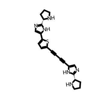 C(C#Cc1ccc(-c2cnc([C@@H]3CCCN3)[nH]2)s1)#Cc1cnc([C@@H]2CCCN2)[nH]1